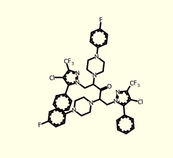 O=C(C(Cn1nc(C(F)(F)F)c(Cl)c1-c1ccccc1)N1CCN(c2ccc(F)cc2)CC1)C(Cn1nc(C(F)(F)F)c(Cl)c1-c1ccccc1)N1CCN(c2ccc(F)cc2)CC1